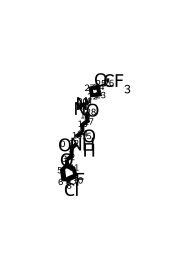 O=C(COc1ccc(Cl)c(F)c1)NCC(O)CCc1nnc([C@H]2C[C@@H](OC(F)(F)F)C2)o1